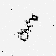 CC(C)C(NC(=O)OCc1ccccc1)C(=O)NC1CCCCCCNC(=O)C1=O